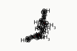 CC(=O)c1cc(Nc2nc(NCC(=O)O)nc(Nc3ccc(N=Nc4ccc(N=Nc5ccc(S(=O)(=O)O)cc5)cc4S(=O)(=O)O)c(C(C)=O)c3)n2)ccc1N=Nc1ccc(N=Nc2ccc(S(=O)(=O)O)cc2)cc1S(=O)(=O)O